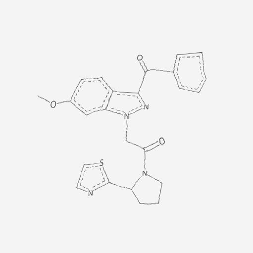 COc1ccc2c(C(=O)c3ccccc3)nn(CC(=O)N3CCCC3c3nccs3)c2c1